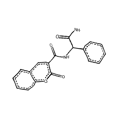 [NH]C(=O)C(NC(=O)c1cc2ccccc2oc1=O)c1ccccc1